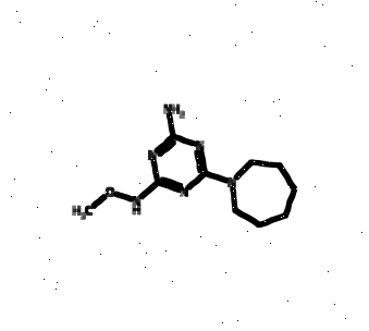 CONc1nc(N)nc(N2CCCCCC2)n1